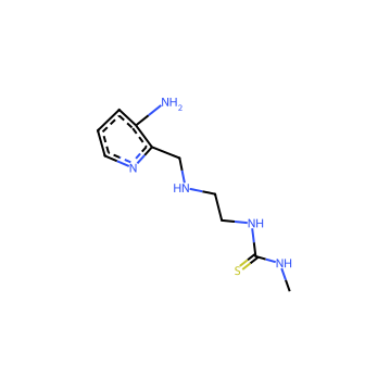 CNC(=S)NCCNCc1ncccc1N